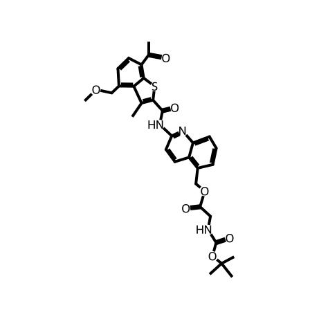 COCc1ccc(C(C)=O)c2sc(C(=O)Nc3ccc4c(COC(=O)CNC(=O)OC(C)(C)C)cccc4n3)c(C)c12